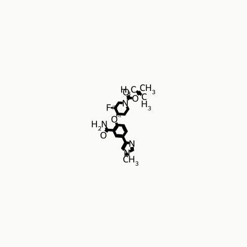 Cn1cnc(-c2ccc(O[C@H]3CCN(C(=O)OC(C)(C)C)C[C@@H]3F)c(C(N)=O)c2)c1